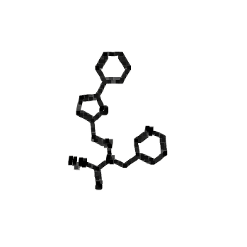 NC(=S)N(Cc1cccnc1)N=Cc1ccc(-c2ccccc2)o1